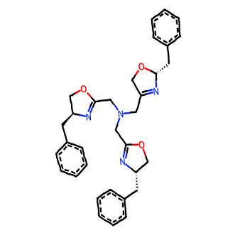 c1ccc(C[C@H]2COC(CN(CC3=N[C@@H](Cc4ccccc4)OC3)CC3=N[C@@H](Cc4ccccc4)CO3)=N2)cc1